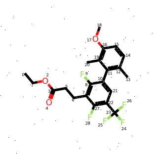 CCOC(=O)CCc1c(F)c(-c2c(C)ccc(OC)c2C)cc(C(F)(F)F)c1F